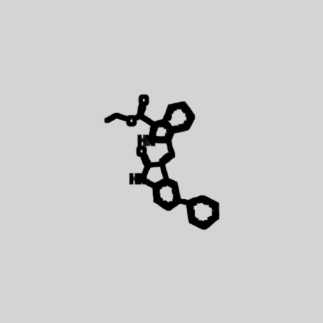 CCOC(=O)c1[nH]c(C=C2C(=O)Nc3ccc(-c4ccccc4)cc32)c2ccccc12